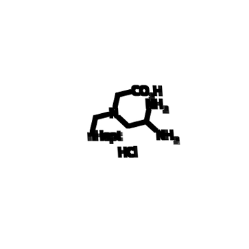 CCCCCCCCN(CC(=O)O)CC(N)N.Cl